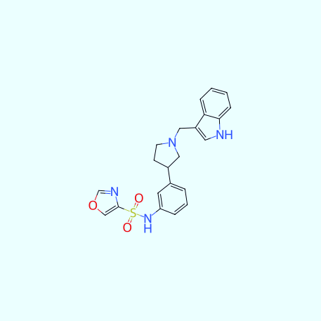 O=S(=O)(Nc1cccc(C2CCN(Cc3c[nH]c4ccccc34)C2)c1)c1cocn1